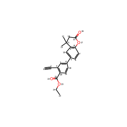 C#Cc1cc(-c2ccc3c(c2)C(C)(C)CC(=O)O3)ccc1C(=O)OCC